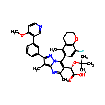 COc1ccncc1-c1cccc(-c2nn3c(-c4cc(F)c5c(c4C)CCCO5)c([C@H](OC(C)(C)C)C(=O)O)c(C)nc3c2C)c1